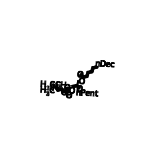 CCCCCCCCCCCCCCCC(=O)OC[C@H](COP(=O)([O-])OCC[N+](C)(C)C)OCCCCC